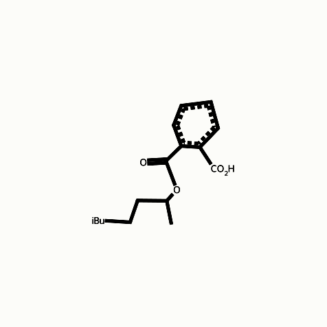 CCC(C)CCC(C)OC(=O)c1ccccc1C(=O)O